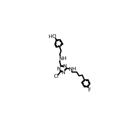 Oc1ccc(CCNCc2nc(Cl)nc(NCCCCc3ccc(F)cc3)n2)cc1